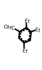 CCc1cc(C=O)c(CC)c(CC)c1